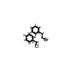 BrCCc1ccccc1.ClCc1ccccc1